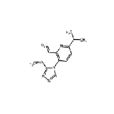 C=Cc1nc(C(C)C)ccc1-n1nnnc1C=C